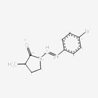 CC1CCN([SH]=Nc2ccc(Br)cc2)C1=O